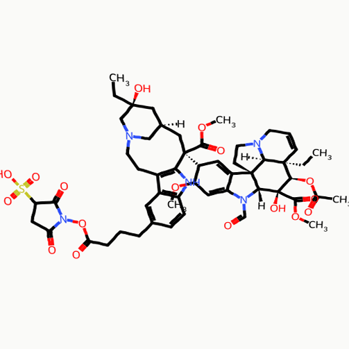 CC[C@]1(O)C[C@@H]2CN(CCc3c([nH]c4ccc(CCCC(=O)ON5C(=O)CC(S(=O)(=O)O)C5=O)cc34)[C@@](C(=O)OC)(C3C=C4C(=CC3OC)N(C=O)[C@H]3[C@@](O)(C(=O)OC)[C@H](OC(C)=O)[C@]5(CC)C=CCN6CC[C@]43[C@@H]65)C2)C1